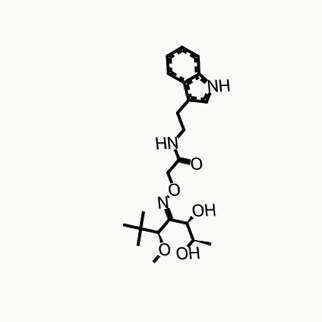 CO[C@H](/C(=N/OCC(=O)NCCc1c[nH]c2ccccc12)[C@@H](O)[C@@H](C)O)C(C)(C)C